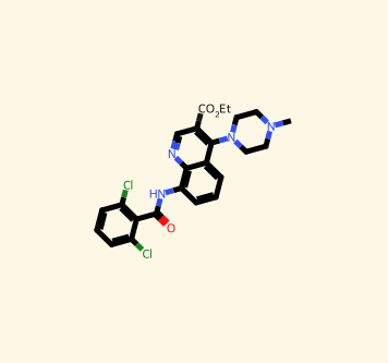 CCOC(=O)c1cnc2c(NC(=O)c3c(Cl)cccc3Cl)cccc2c1N1CCN(C)CC1